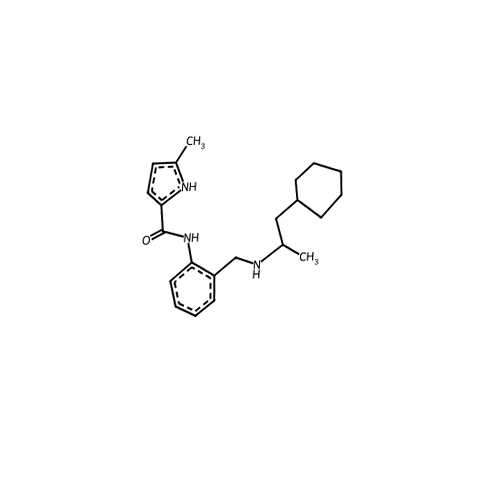 Cc1ccc(C(=O)Nc2ccccc2CNC(C)CC2CCCCC2)[nH]1